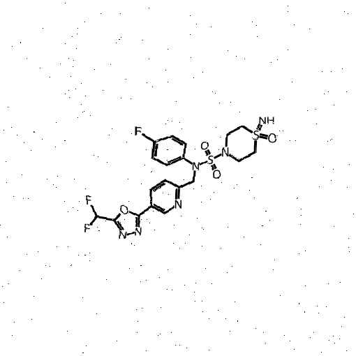 N=S1(=O)CCN(S(=O)(=O)N(Cc2ccc(-c3nnc(C(F)F)o3)cn2)c2ccc(F)cc2)CC1